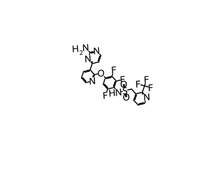 Nc1nccc(-c2cccnc2Oc2cc(F)c(NS(=O)(=O)Cc3cccnc3C(F)(F)F)c(F)c2F)n1